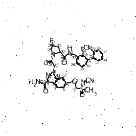 CS(=O)(COc1ccc2c(C(N)=O)nn(CC(=O)N3C[C@H](F)C[C@H]3C(=O)Nc3cccc(-c4ccccc4Cl)c3F)c2c1)=NC#N